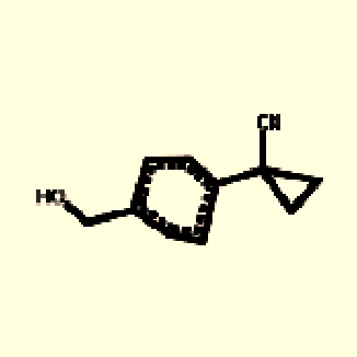 N#CC1(c2ccc(CO)cc2)CC1